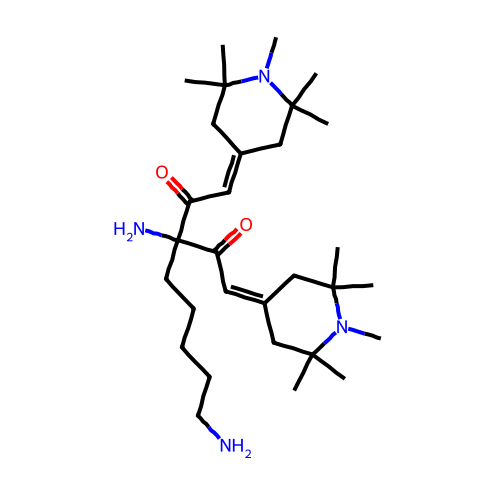 CN1C(C)(C)CC(=CC(=O)C(N)(CCCCCN)C(=O)C=C2CC(C)(C)N(C)C(C)(C)C2)CC1(C)C